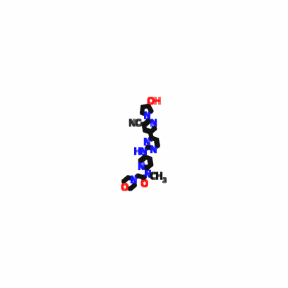 CN(C(=O)CN1CCOCC1)c1ccc(Nc2nccc(-c3cnc(N4CCC(O)C4)c(C#N)c3)n2)cn1